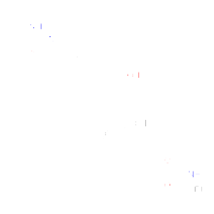 CCNC(=O)NCc1cccc(-c2ccc(C(C)(C)CCCOC(=O)NCC)cc2O)c1